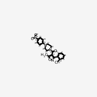 Cc1onc(-c2ccccc2Cl)c1C(=O)N1CCN(c2ccc([N+](=O)[O-])cc2)CC1